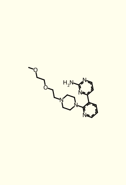 COCCOCCN1CCN(c2ncccc2-c2ccnc(N)n2)CC1